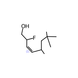 CC(/C=C\C(F)CO)CC(C)(C)C